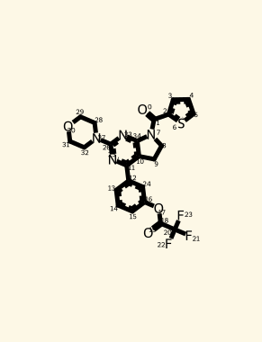 O=C(c1cccs1)N1CCc2c(-c3cccc(OC(=O)C(F)(F)F)c3)nc(N3CCOCC3)nc21